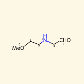 COCCNC[C]=O